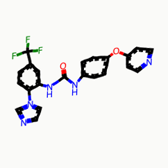 O=C(Nc1ccc(Oc2ccncc2)cc1)Nc1cc(C(F)(F)F)ccc1-n1ccnc1